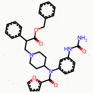 NC(=O)Nc1cccc(N(C(=O)c2ccco2)C2CCN(CC(C(=O)OCc3ccccc3)c3ccccc3)CC2)c1